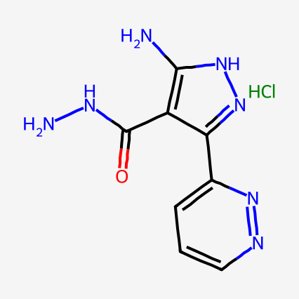 Cl.NNC(=O)c1c(-c2cccnn2)n[nH]c1N